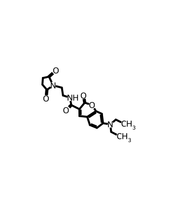 CCN(CC)c1ccc2cc(C(=O)NCCN3C(=O)CCC3=O)c(=O)oc2c1